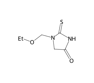 CCOCN1CC(=O)NC1=S